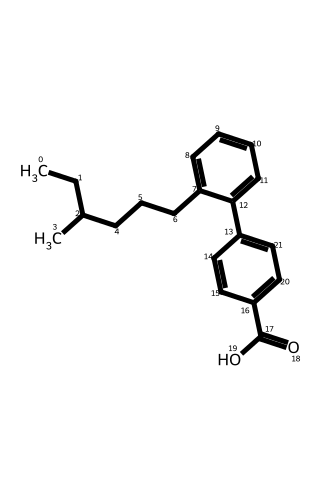 CCC(C)CCCc1ccccc1-c1ccc(C(=O)O)cc1